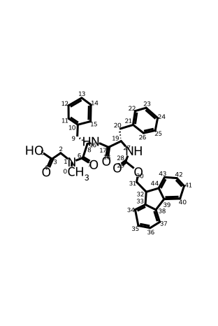 CN(CC(=O)O)C(=O)[C@H](Cc1ccccc1)NC(=O)[C@H](Cc1ccccc1)NC(=O)OCC1c2ccccc2-c2ccccc21